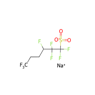 O=S(=O)([O-])C(F)(F)C(F)(F)C(F)CCC(F)(F)F.[Na+]